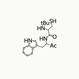 CC(=O)C(Cc1c[nH]c2ccccc12)NC(=O)C(CS)NC(C)(C)C